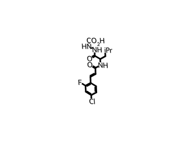 CC(C)CC(NC(=O)/C=C/c1ccc(Cl)cc1F)C(=O)NNC(=O)O